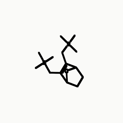 C[Si](C)(C)CC1=C(C[Si](C)(C)C)C2CCC1O2